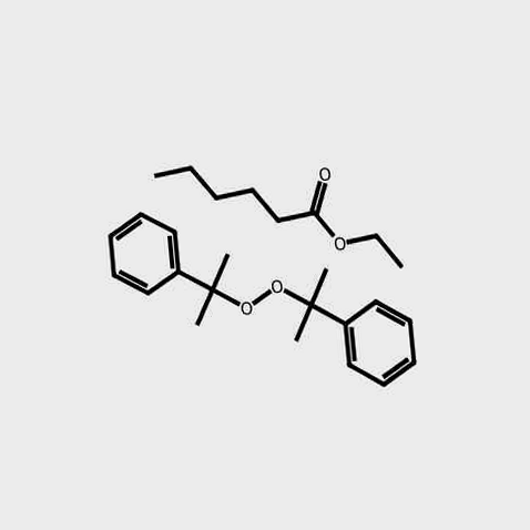 CC(C)(OOC(C)(C)c1ccccc1)c1ccccc1.CCCCCC(=O)OCC